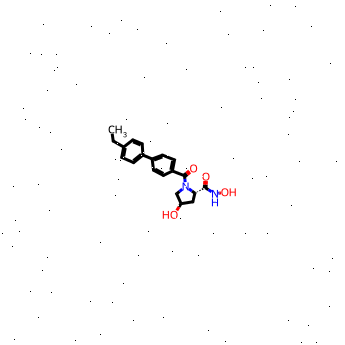 CCc1ccc(-c2ccc(C(=O)N3CC(O)C[C@H]3C(=O)NO)cc2)cc1